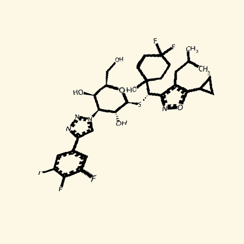 CC(C)Cc1c([C@H](S[C@@H]2O[C@H](CO)[C@H](O)[C@H](n3cc(-c4cc(F)c(F)c(F)c4)nn3)[C@H]2O)C2(O)CCC(F)(F)CC2)noc1C1CC1